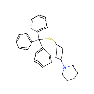 c1ccc(C(SC2CC(N3CCCCC3)C2)(c2ccccc2)c2ccccc2)cc1